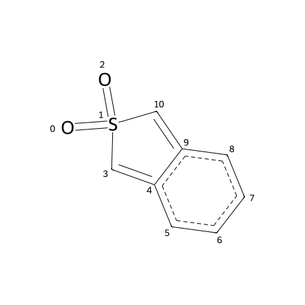 O=S1(=O)C=c2ccccc2=C1